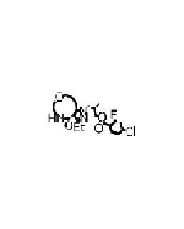 CCc1nn(C[C@@H](C)COC(=O)c2ccc(Cl)cc2F)c2c1C(=O)NCCCOCCC2